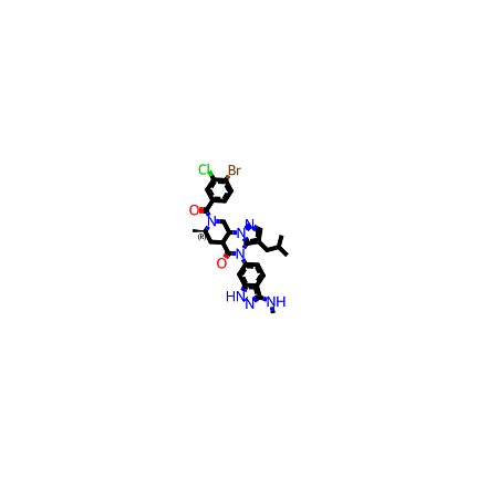 CNc1n[nH]c2cc(N3C(=O)C4C[C@@H](C)N(C(=O)c5ccc(Br)c(Cl)c5)CC4n4ncc(CC(C)C)c43)ccc12